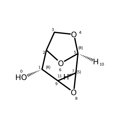 O[C@@H]1C2CO[C@H](O2)[C@H]2OC12